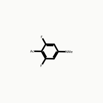 CNc1cc(F)c(C(C)=O)c(F)c1